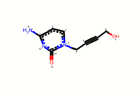 Nc1ccn(CC#CCO)c(=O)n1